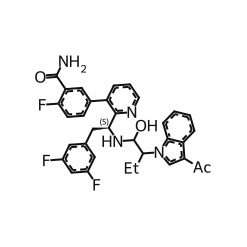 CCC(C(O)N[C@@H](Cc1cc(F)cc(F)c1)c1ncccc1-c1ccc(F)c(C(N)=O)c1)n1cc(C(C)=O)c2ccccc21